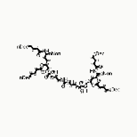 CCCCCCCCCCCCCC(=O)NC(CCCCCCCCC)CC[C@@H](COP(=O)(O)OCCNC(=O)NCCOP(=O)(O)OC[C@H](CCC(CCCCCCCCC)NC(=O)CCCCCCCCCCCCC)OC(=O)CCCCCCCCCCCCC)OC(=O)CCCCCCCCCCCCC